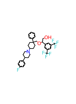 OCC(OCC1(c2ccccc2)CCC(N2CCC(c3ccc(F)cc3)CC2)CC1)c1cc(C(F)(F)F)cc(C(F)(F)F)c1